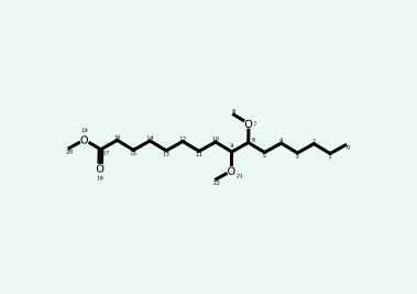 CCCCCCC(OC)C(CCCCCCCC(=O)OC)OC